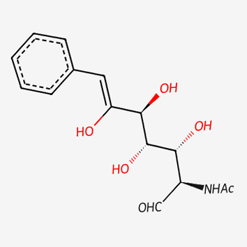 CC(=O)N[C@@H](C=O)[C@@H](O)[C@H](O)[C@H](O)C(O)=Cc1ccccc1